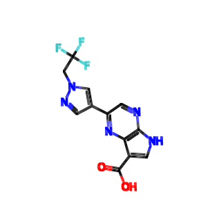 O=C(O)c1c[nH]c2ncc(-c3cnn(CC(F)(F)F)c3)nc12